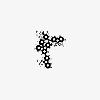 CC(C)(C)c1ccc(N(c2ccc3c(c2)C(C)(C)c2ccccc2-3)c2ccc3c(c2)C(c2ccccc2)(c2ccccc2)c2ccc(-c4ccc5c(c4)C(C)(C)c4ccccc4-5)cc2-3)cc1